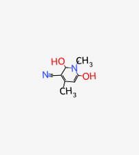 CC1=C(C#N)C(O)N(C)C(O)=C1